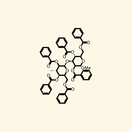 CO[C@H]1OC(COC(=O)c2ccccc2)[C@@H](OC(=O)c2ccccc2)[C@H](O[C@H]2OC(COC(=O)c3ccccc3)[C@@H](OC(=O)c3ccccc3)[C@H](C)C2OC(=O)c2ccccc2)C1OC(=O)c1ccccc1